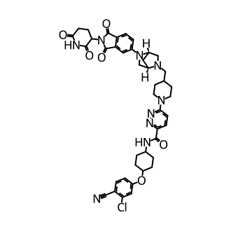 N#Cc1ccc(OC2CCC(NC(=O)c3ccc(N4CCC(CN5C[C@@H]6C[C@H]5CN6c5ccc6c(c5)C(=O)N(C5CCC(=O)NC5=O)C6=O)CC4)nn3)CC2)cc1Cl